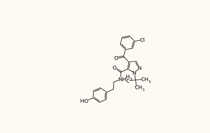 CC(C)(C)n1ncc(C(=O)c2cccc(Cl)c2)c1C(=O)NCCc1ccc(O)cc1